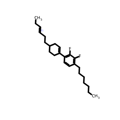 CC/C=C/CCC1CC=C(c2ccc(CCCCCCC)c(F)c2F)CC1